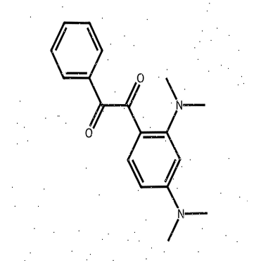 CN(C)c1ccc(C(=O)C(=O)c2ccccc2)c(N(C)C)c1